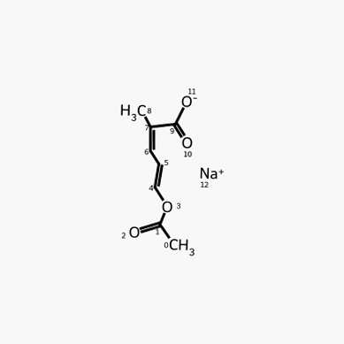 CC(=O)OC=CC=C(C)C(=O)[O-].[Na+]